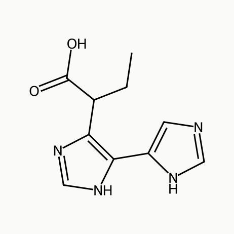 CCC(C(=O)O)c1nc[nH]c1-c1cnc[nH]1